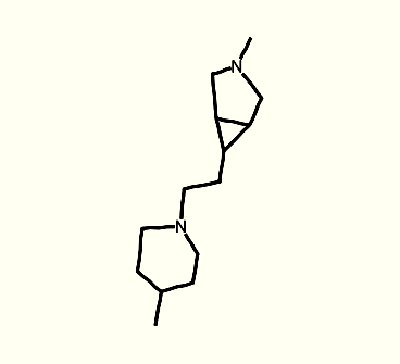 CC1CCN(CCC2C3CN(C)CC23)CC1